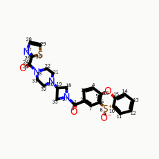 O=C(c1ccc2c(c1)[S+]([O-])c1ccccc1O2)N1CC(N2CCN(C(=O)c3nccs3)CC2)C1